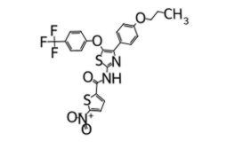 CCCOc1ccc(-c2nc(NC(=O)c3ccc([N+](=O)[O-])s3)sc2Oc2ccc(C(F)(F)F)cc2)cc1